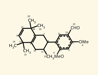 COc1cc(OC)c(C2CC3=C(CC2C)C(C)(C)C=CC3(C)C)cc1C=O